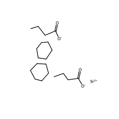 C1CCCCC1.C1CCCCC1.CCCC(=O)[O-].CCCC(=O)[O-].[Sr+2]